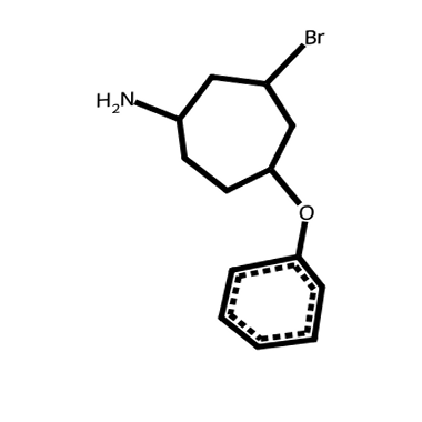 NC1CCC(Oc2ccccc2)CC(Br)C1